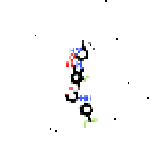 C=C1CCC(N2Cc3c(ccc(C[C@H]4OCCC[C@@H]4N[C@H]4CC[C@H](C(F)F)CC4)c3F)C2=O)C(=O)N1